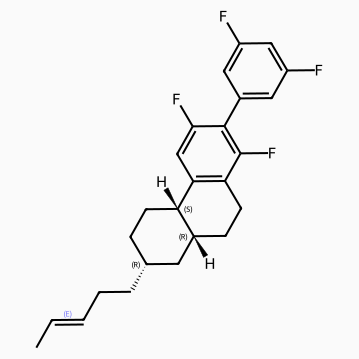 C/C=C/CC[C@@H]1CC[C@@H]2c3cc(F)c(-c4cc(F)cc(F)c4)c(F)c3CC[C@@H]2C1